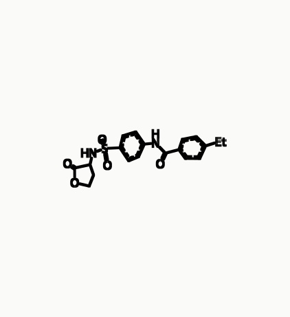 CCc1ccc(C(=O)Nc2ccc(S(=O)(=O)NC3CCOC3=O)cc2)cc1